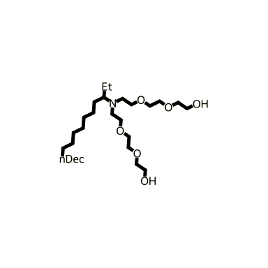 CCCCCCCCCCCCCCCCCC(CC)N(CCOCCOCCO)CCOCCOCCO